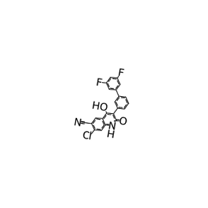 N#Cc1cc2c(O)c(-c3cccc(-c4cc(F)cc(F)c4)c3)c(=O)[nH]c2cc1Cl